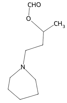 CC(CCN1CCCCC1)OC=O